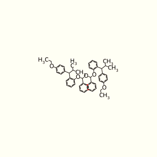 CCOc1ccc(C(c2ccccc2OC(OC(Oc2ccccc2C(c2ccc(OCC)cc2)C(C)C)c2ccccc2)c2ccccc2)C(C)C)cc1